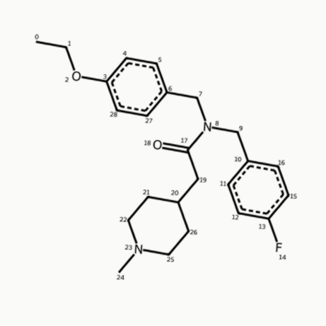 CCOc1ccc(CN(Cc2ccc(F)cc2)C(=O)CC2CCN(C)CC2)cc1